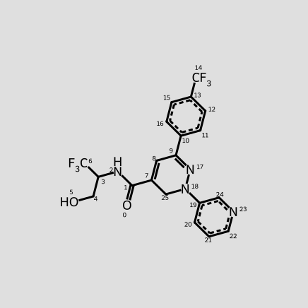 O=C(NC(CO)C(F)(F)F)C1=CC(c2ccc(C(F)(F)F)cc2)=NN(c2cccnc2)C1